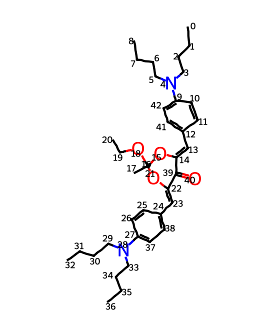 CCCCN(CCCC)c1ccc(C=C2OC(C)(OCC)OC(=Cc3ccc(N(CCCC)CCCC)cc3)C2=O)cc1